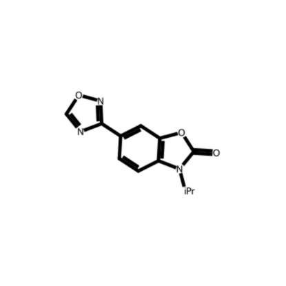 CC(C)n1c(=O)oc2cc(-c3ncon3)ccc21